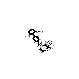 COc1cccc(OC)c1-c1ccc(S(=O)(=O)N2CCSC(C)(C)C2C(=O)O)cc1